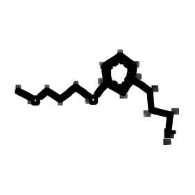 COCCCOc1cccc(CCCBr)c1